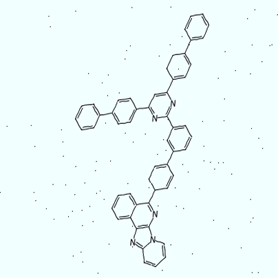 C1=CC(c2nc3c(nc4ccccn43)c3ccccc23)CC=C1c1cccc(-c2nc(C3=CC=C(c4ccccc4)CC3)cc(-c3ccc(-c4ccccc4)cc3)n2)c1